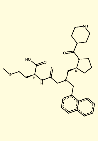 CSCC[C@H](NC(=O)CN(Cc1cccc2ccccc12)C[C@@H]1CCCN1C(=O)C1CCNCC1)C(=O)O